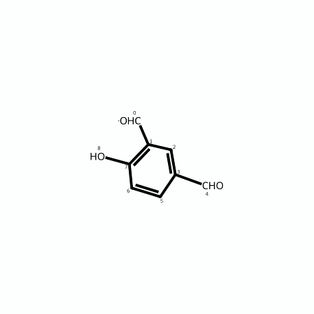 O=[C]c1cc(C=O)ccc1O